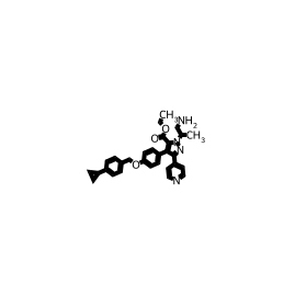 CCOC(=O)c1c(-c2ccc(OCc3ccc(C4CC4)cc3)cc2)c(-c2ccncc2)nn1C(C)CN